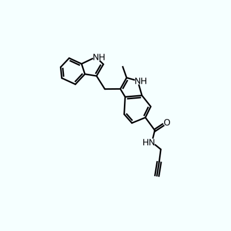 C#CCNC(=O)c1ccc2c(Cc3c[nH]c4ccccc34)c(C)[nH]c2c1